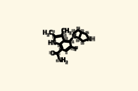 Cc1[nH]c2c(C(N)=O)cc(F)c(N3CCC4CNCC43)c2c1C